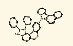 c1ccc(C2Nc3ccc4ccc5cc(-n6c7ccccc7c7c8ccccc8ccc76)ccc5c4c3N2c2ccccc2)cc1